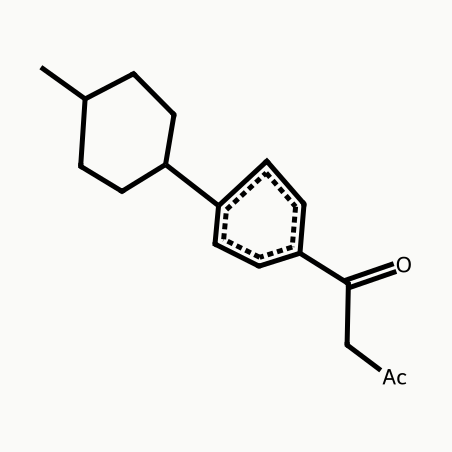 CC(=O)CC(=O)c1ccc(C2CCC(C)CC2)cc1